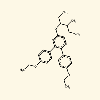 CCOc1ccc(-c2nnc(OC(CC)C(C)CC)nc2-c2ccc(OCC)cc2)cc1